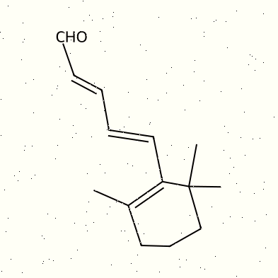 CC1=C(/C=C/C=C/C=O)C(C)(C)CCC1